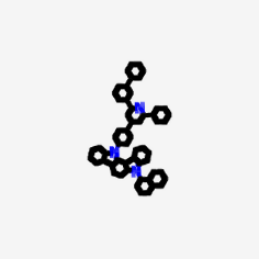 c1ccc(-c2cccc(-c3cc(-c4ccc(-n5c6ccccc6c6ccc7c(c8ccccc8n7-c7cccc8ccccc78)c65)cc4)cc(-c4ccccc4)n3)c2)cc1